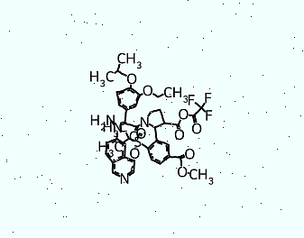 CCOc1cc(C(C(=O)N2CCC(C(=O)OC(=O)C(F)(F)F)C2c2cc(C(=O)OC)ccc2S(=O)(=O)C(C)C)N(N)c2ccc3cnccc3c2)ccc1OC(C)C